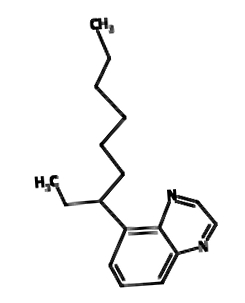 CCCCCCC(CC)c1cccc2nccnc12